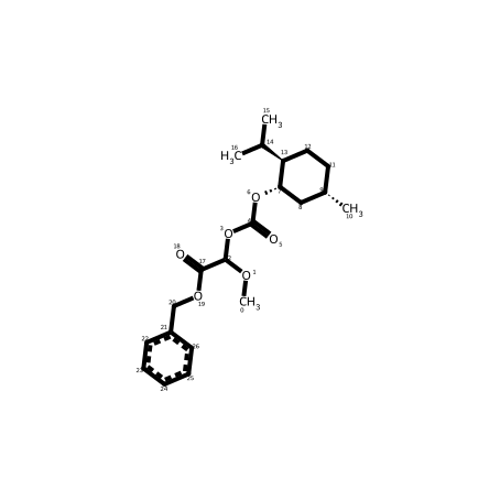 COC(OC(=O)O[C@H]1C[C@@H](C)CC[C@@H]1C(C)C)C(=O)OCc1ccccc1